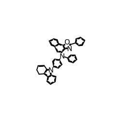 C1=Cc2c(c3ccccc3n2-c2ccc(N(c3ccccc3)c3cc4ccccc4c4oc(-c5ccccc5)nc34)cc2)CC1